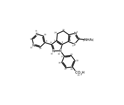 CC(=O)Nc1nc2c(s1)-c1c(c(-c3cncnc3)nn1-c1ccc(C(=O)O)cc1)CC2